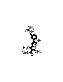 CNC(=O)c1c(C)[nH]c(/C=C2\C(=O)Nc3ccc(CNC(N)=O)cc32)c1C